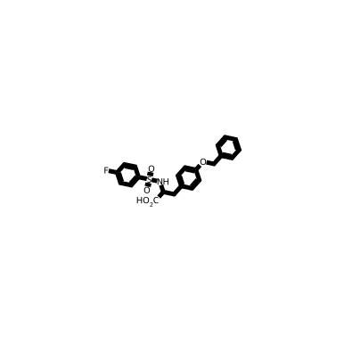 O=C(O)C(Cc1ccc(OCc2ccccc2)cc1)NS(=O)(=O)c1ccc(F)cc1